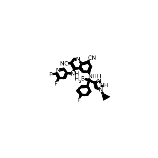 BC(Nc1cc(C#N)c2ncc(C#N)c(Nc3cnc(F)c(F)c3)c2c1)(C1=CN(C2CC2)NN1)c1ccc(F)cc1